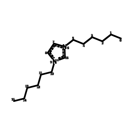 CCCCCCn1cc[n+](CCCCCC)c1